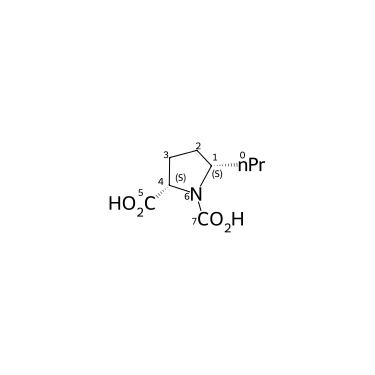 CCC[C@H]1CC[C@@H](C(=O)O)N1C(=O)O